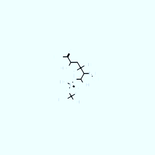 C=C(C)C(C)CC(C)(C)C(NC)C(C)OP(=O)(O)OC(C)(C)C